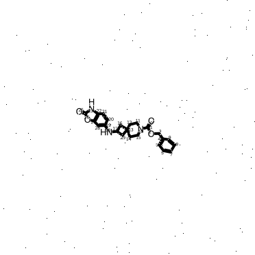 O=C(OCc1ccccc1)N1CCC2(CC1)CC(Nc1ccc3[nH]c(=O)oc3c1)C2